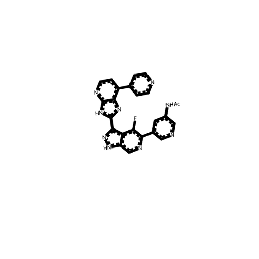 CC(=O)Nc1cncc(-c2ncc3[nH]nc(-c4nc5c(-c6ccncc6)ccnc5[nH]4)c3c2F)c1